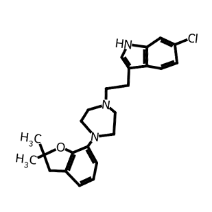 CC1(C)Cc2cccc(N3CCN(CCc4c[nH]c5cc(Cl)ccc45)CC3)c2O1